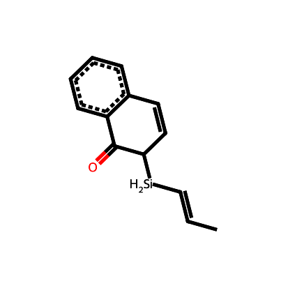 CC=C[SiH2]C1C=Cc2ccccc2C1=O